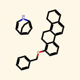 C1=CC2=CC=C(CC2)N1.C1=Cc2ccc3c(c2CC1)CCc1c(OCc2ccccc2)cccc1-3